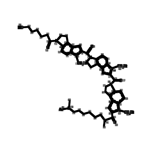 CCOC(=O)n1c(C(=O)N2CCc3c2ccc2c3cc(C(=O)N3CCc4c3ccc3c4cc(C(=O)N(C)CCCCCCN(C)C(C)=O)n3C(=O)OCC)n2C(=O)OCC)cc2c3c(ccc21)N(C(=O)CCCCCO)CC3